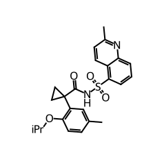 Cc1ccc(OC(C)C)c(C2(C(=O)NS(=O)(=O)c3cccc4nc(C)ccc34)CC2)c1